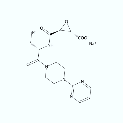 CC(C)C[C@H](NC(=O)[C@H]1O[C@@H]1C(=O)[O-])C(=O)N1CCN(c2ncccn2)CC1.[Na+]